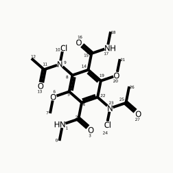 CNC(=O)c1c(OC)c(N(Cl)C(C)=O)c(C(=O)NC)c(OC)c1N(Cl)C(C)=O